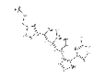 Cc1cccc(-c2[nH]cnc2-c2ccc3ncc(-c4cnn(CCN)c4)cc3c2)n1